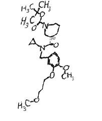 COCCCOc1cc(CN(C(=O)[C@H]2CCCN(C(=O)OC(C)(C)C)C2)C2CC2)ccc1OC